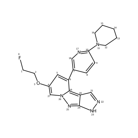 FCCOc1cc(-c2ccc(N3CCCCC3)nc2)c2c3cn[nH]c3nn2c1